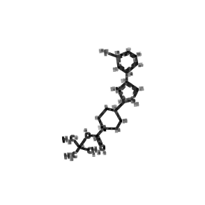 CC(C)(C)OC(=O)N1CCC(c2nc(-c3cccc(F)c3)cs2)CC1